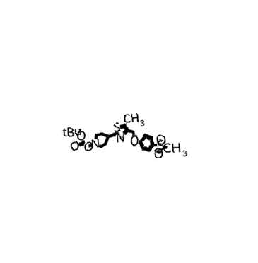 Cc1sc(C2CCN(OC(=O)OC(C)(C)C)CC2)nc1COc1ccc(S(C)(=O)=O)cc1